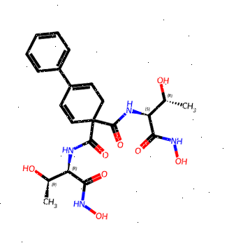 C[C@@H](O)[C@H](NC(=O)C1(C(=O)N[C@@H](C(=O)NO)[C@@H](C)O)C=CC(c2ccccc2)=CC1)C(=O)NO